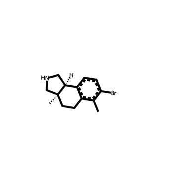 Cc1c(Br)ccc2c1CC[C@@]1(C)CNC[C@@H]21